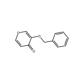 O=c1ccocc1OCc1ccccc1